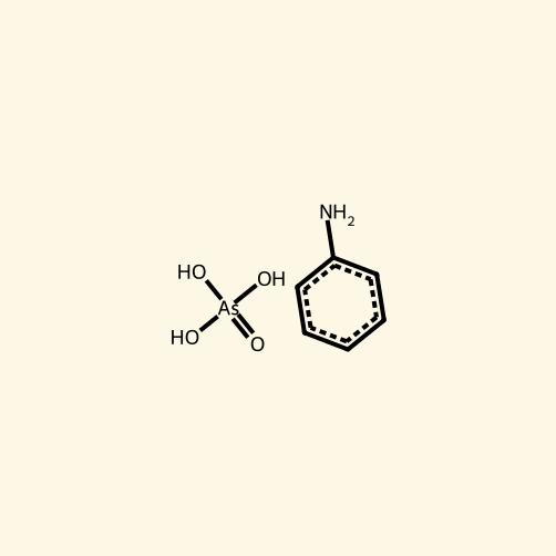 Nc1ccccc1.O=[As](O)(O)O